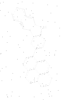 C1=c2ccccc2=CC2c3cc(-c4ccc5ccc6cccc7ccc4c5c67)ccc3NC12